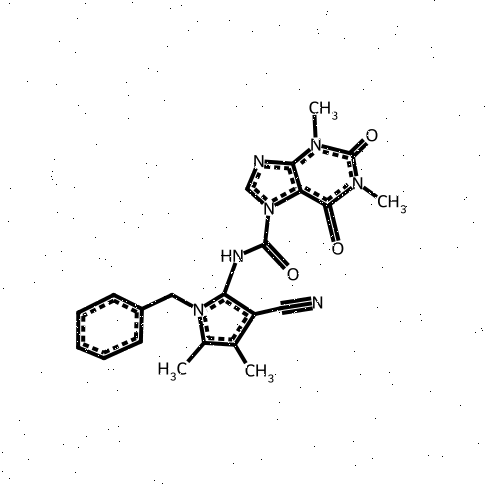 Cc1c(C#N)c(NC(=O)n2cnc3c2c(=O)n(C)c(=O)n3C)n(Cc2ccccc2)c1C